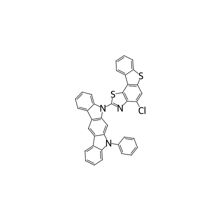 Clc1cc2sc3ccccc3c2c2sc(-n3c4ccccc4c4cc5c6ccccc6n(-c6ccccc6)c5cc43)nc12